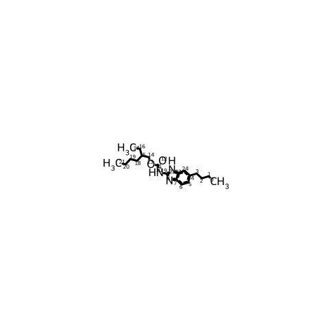 CCCCc1ccc2nc(NC(=O)OCC(CC)CCCC)[nH]c2c1